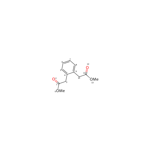 COC(=O)Cc1ccccc1CC(=O)OC